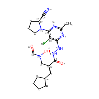 Cc1nc(NNC(=O)[C@@H](CC2CCCC2)CN(O)C=O)c(F)c(N2CCC[C@H]2C#N)n1